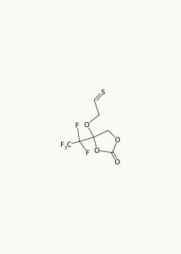 O=C1OCC(OCC=S)(C(F)(F)C(F)(F)F)O1